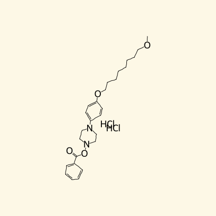 COCCCCCCCCOc1ccc(N2CCN(OC(=O)c3ccccc3)CC2)cc1.Cl.Cl